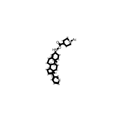 CC(=O)N1CCC(C(=O)ONC2C=C3CCC4C(CCC5(C)C(c6cccnc6)=CCC45)C3(C)CC2)CC1